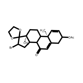 CC(=O)OC1C=C[C@@]2(C)C(=CC(=O)C3C2CC[C@@]2(C)C3CC(Br)C23OCCO3)C1